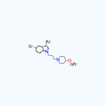 CCCOC1CCN(CCCn2cc(C(C)=O)c3cc(Br)ccc32)CC1